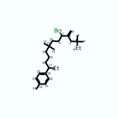 C=C(CC(C)(C)CC)C(Br)CCC(C)(C)CCCC(CC)c1ccc(C)cc1